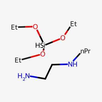 CCCNCCN.CCO[SiH](OCC)OCC